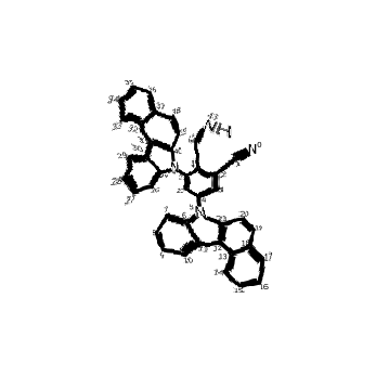 N#Cc1cc(-n2c3ccccc3c3c4ccccc4ccc32)cc(-n2c3ccccc3c3c4ccccc4ccc32)c1C=N